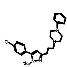 CC(C)(C)n1nc(CCCN2CCN(c3ccccc3)CC2)cc1-c1ccc(Cl)cc1